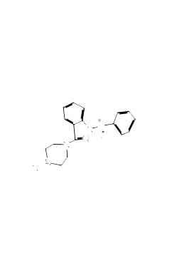 N#CN1CCN(c2nn(S(=O)(=O)c3ccccc3)c3ccccc23)CC1